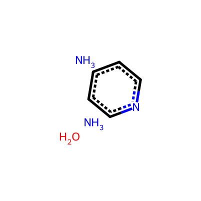 N.N.O.c1ccncc1